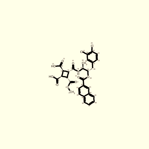 COC(=O)[C@@H]1[C@@H](C(=O)O)[C@@H](C(=O)O)[C@@H]1C(=O)N[C@@H](C)[C@H](Cc1ccc(Cl)c(Cl)c1)OC(=O)c1ccc2ccccc2c1